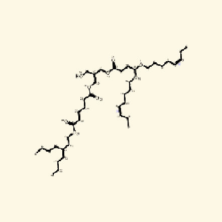 CC/C=C\CCCCOC(CCC(=O)OCC(CO)COC(=O)CCCCC(=O)OCCC(CCCC)CCCC)OCCCC/C=C\CC